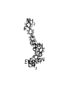 CCN(C)S(=O)(=O)Nc1ccc(F)c(Oc2ccc3ncn([C@H]4COC5(CCN(C6CCC(c7ccc(N)cc7F)CC6)CC5)C4)c(=O)c3c2)c1C#N